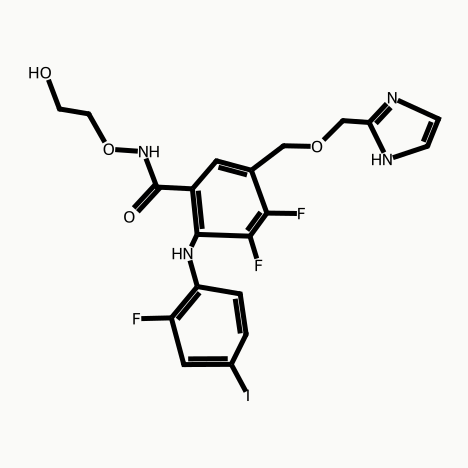 O=C(NOCCO)c1cc(COCc2ncc[nH]2)c(F)c(F)c1Nc1ccc(I)cc1F